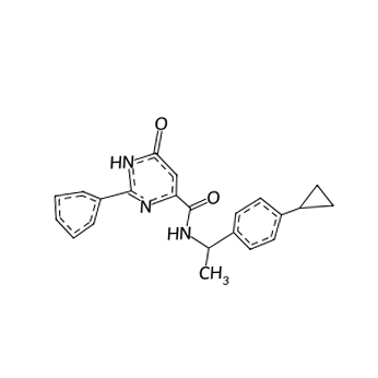 CC(NC(=O)c1cc(=O)[nH]c(-c2ccccc2)n1)c1ccc(C2CC2)cc1